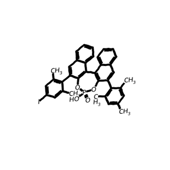 Cc1cc(C)c(-c2cc3ccccc3c3c2OP(=O)(O)Oc2c(-c4c(C)cc(I)cc4C)cc4ccccc4c2-3)c(C)c1